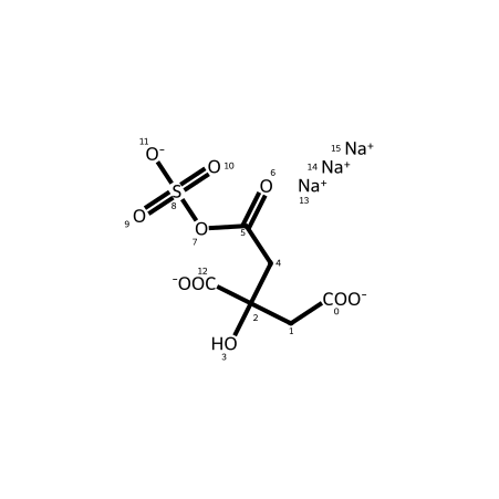 O=C([O-])CC(O)(CC(=O)OS(=O)(=O)[O-])C(=O)[O-].[Na+].[Na+].[Na+]